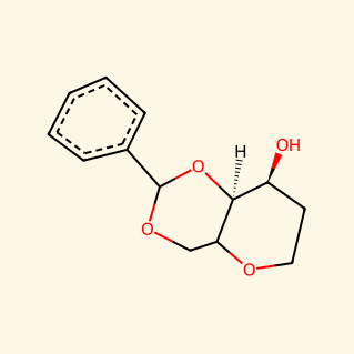 O[C@H]1CCOC2COC(c3ccccc3)O[C@H]21